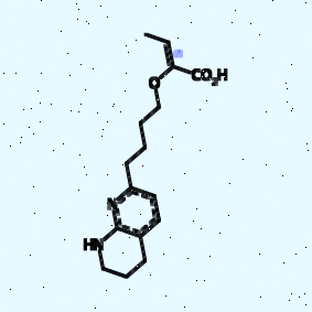 C/C=C(\OCCCCc1ccc2c(n1)NCCC2)C(=O)O